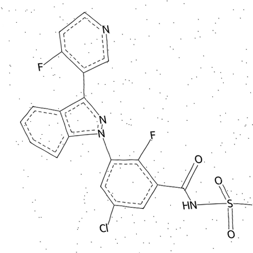 CS(=O)(=O)NC(=O)c1cc(Cl)cc(-n2nc(-c3cnccc3F)c3ccccc32)c1F